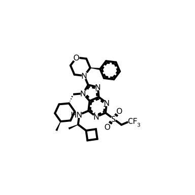 C[C@@H](Nc1nc(S(=O)(=O)CC(F)(F)F)nc2nc(N3CCOC[C@H]3c3ccccc3)n(C[C@H]3CC[C@H](C)CC3)c12)C1CCC1